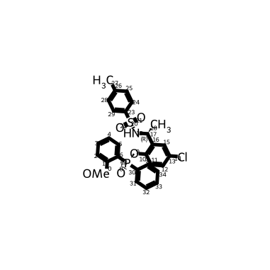 COc1ccccc1[P@@](=O)(Oc1ccc(Cl)cc1[C@@H](C)NS(=O)(=O)c1ccc(C)cc1)c1ccccc1